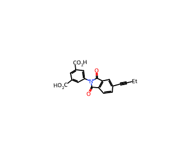 CCC#Cc1ccc2c(c1)C(=O)N(c1cc(C(=O)O)cc(C(=O)O)c1)C2=O